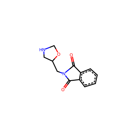 O=C1c2ccccc2C(=O)N1CC1CNCO1